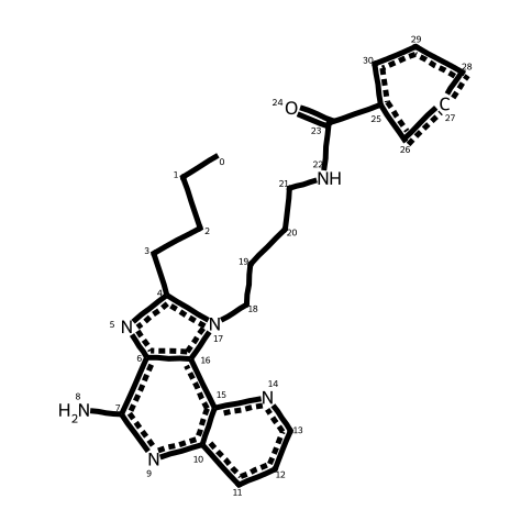 CCCCc1nc2c(N)nc3cccnc3c2n1CCCCNC(=O)c1ccccc1